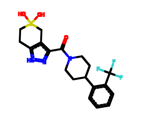 O=C(c1n[nH]c2c1CS(O)(O)CC2)N1CCC(c2ccccc2C(F)(F)F)CC1